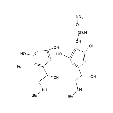 CC(C)(C)NCC(O)c1cc(O)cc(O)c1.CC(C)(C)NCC(O)c1cc(O)cc(O)c1.O=S(=O)(O)O.O=[N+]([O-])[O-].[Pd]